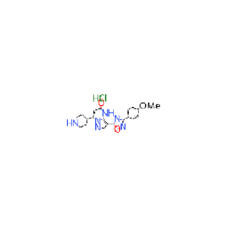 COc1ccc(-c2noc(-c3cnn4c(C5CCNCC5)cc(=O)[nH]c34)n2)cc1.Cl